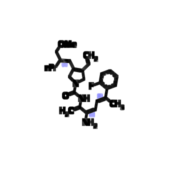 C=CC1=C(/C=C(\CCC)COC)CN(C(=O)NC(=C)/C(N)=C\C=C(/C)c2ccccc2F)C1